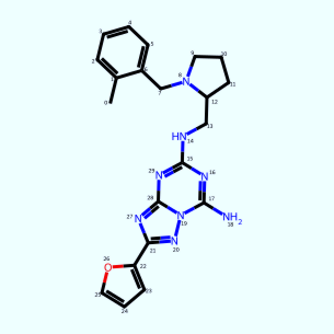 Cc1ccccc1CN1CCCC1CNc1nc(N)n2nc(-c3ccco3)nc2n1